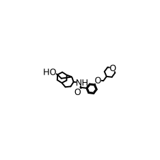 O=C(NC1CCC2CC3CC(O)(C2)CC31)c1cccc(OCC2CCOCC2)c1